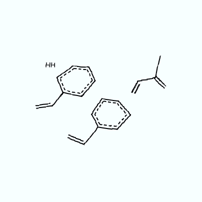 C=CC(=C)C.C=Cc1ccccc1.C=Cc1ccccc1.[HH]